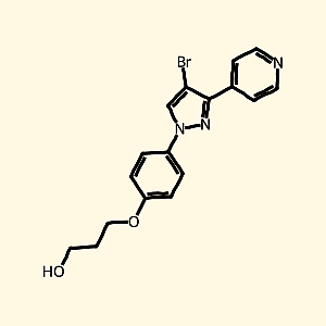 OCCCOc1ccc(-n2cc(Br)c(-c3ccncc3)n2)cc1